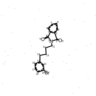 O=C1c2ccccc2C(=O)N1CCCCc1cccc(Br)c1